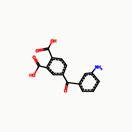 Nc1cccc(C(=O)c2ccc(C(=O)O)c(C(=O)O)c2)c1